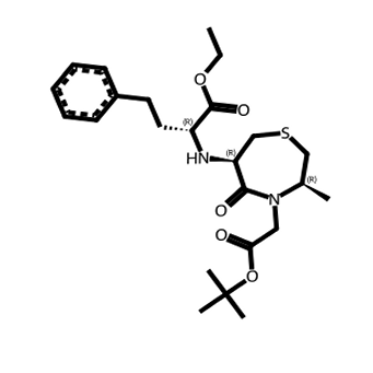 CCOC(=O)[C@@H](CCc1ccccc1)N[C@H]1CSC[C@@H](C)N(CC(=O)OC(C)(C)C)C1=O